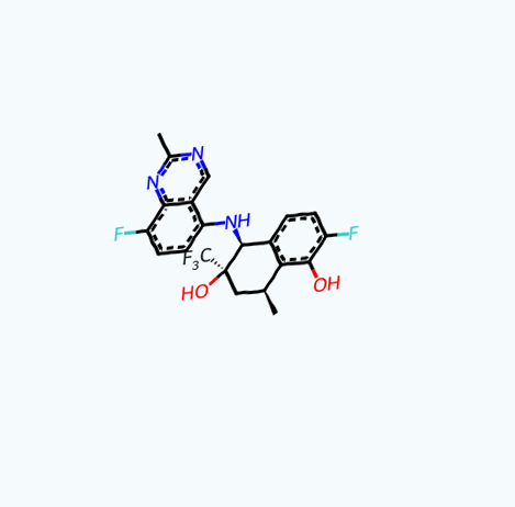 Cc1ncc2c(N[C@H]3c4ccc(F)c(O)c4[C@@H](C)C[C@]3(O)C(F)(F)F)ccc(F)c2n1